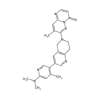 Cc1cc(N(C)C)ncc1-c1cnc2c(c1)CN(c1nn3c(=O)ccnc3cc1C)CC2